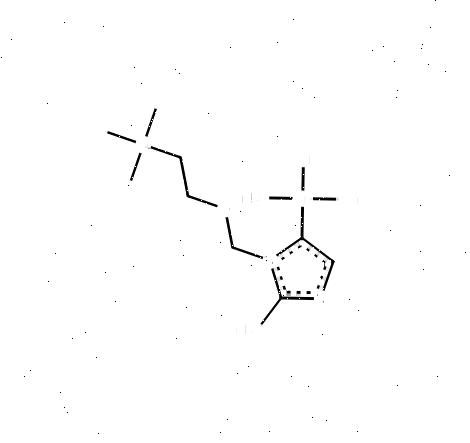 CCCCc1nc[c]([Sn]([CH2]CCC)([CH2]CCC)[CH2]CCC)n1COCC[Si](C)(C)C